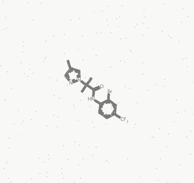 Cc1cnn(C(C)(C)C(=O)Nc2ccc(C(F)(F)F)cc2Br)c1